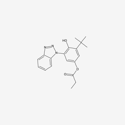 CCC(=O)Oc1cc(-n2nnc3ccccc32)c(O)c(C(C)(C)C)c1